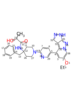 CCOc1cc(-c2ccc(N3CCC(Cc4ccccc4)(NC(=O)C(C)O)CC3)nc2)c2c3cn[nH]c3nn2c1